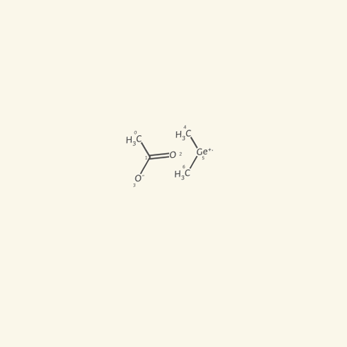 CC(=O)[O-].[CH3][Ge+][CH3]